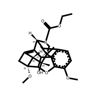 CCOC(=O)N1CC[C@@]23C4=C5C[C@](OC)(C2Oc2c(OC)ccc(c23)C[C@H]41)[C@H]5[C@@](C)(O)C(C)(C)C